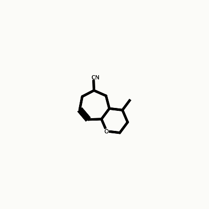 CC1CCOC2C#CCC(C#N)CC12